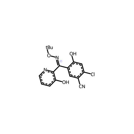 CC(C)(C)O/N=C(/c1cc(C#N)c(Cl)cc1O)c1ncccc1O